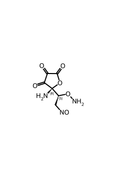 NO[C@@H](CN=O)[C@@]1(N)OC(=O)C(=O)C1=O